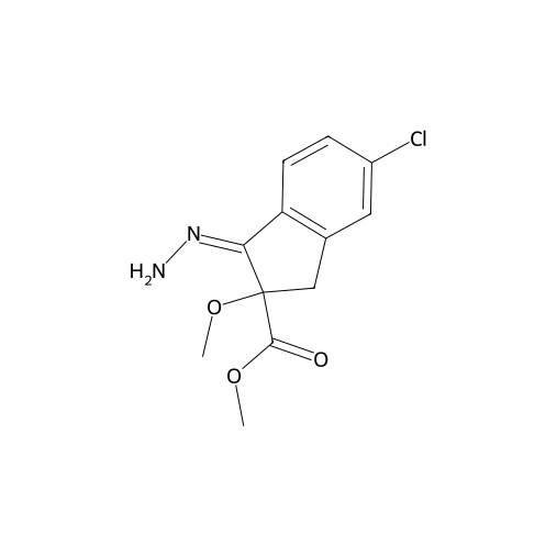 COC(=O)C1(OC)Cc2cc(Cl)ccc2/C1=N/N